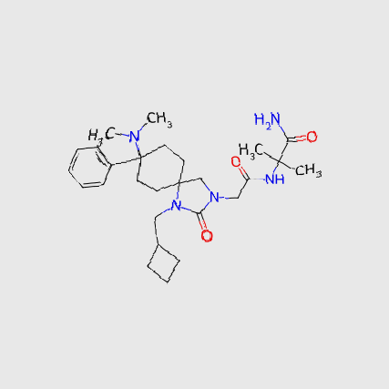 CN(C)C1(c2ccccc2)CCC2(CC1)CN(CC(=O)NC(C)(C)C(N)=O)C(=O)N2CC1CCC1